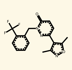 Cc1noc(C)c1-c1ccc(=O)n(Cc2ccccc2C(F)(F)F)n1